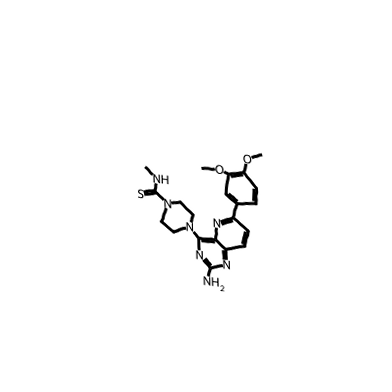 CNC(=S)N1CCN(c2nc(N)nc3ccc(-c4ccc(OC)c(OC)c4)nc23)CC1